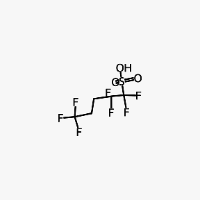 O=S(=O)(O)C(F)(F)C(F)(F)CCC(F)(F)F